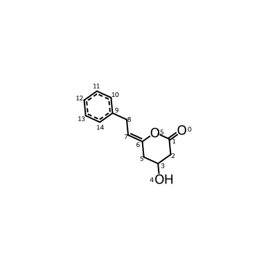 O=C1CC(O)CC(=CCc2ccccc2)O1